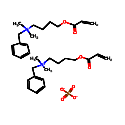 C=CC(=O)OCCCC[N+](C)(C)Cc1ccccc1.C=CC(=O)OCCCC[N+](C)(C)Cc1ccccc1.O=S(=O)([O-])[O-]